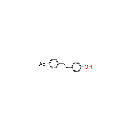 CC(=O)c1ccc(CCc2ccc(O)cc2)cc1